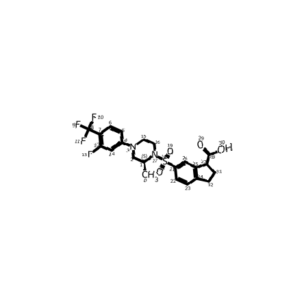 C[C@H]1CN(c2ccc(C(F)(F)F)c(F)c2)CCN1S(=O)(=O)c1ccc2c(c1)C(C(=O)O)CC2